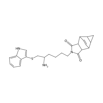 NC(CCCCN1C(=O)C2C3C=CC(C4CC34)C2C1=O)CSc1c[nH]c2ccccc12